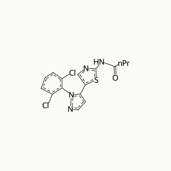 CCCC(=O)Nc1ncc(-c2ccnn2-c2c(Cl)cccc2Cl)s1